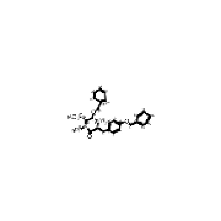 CCCN(C(=O)[C@@H](N)Cc1ccc(OCc2ccccc2)cc1)[C@H](COCc1ccccc1)C(=O)O